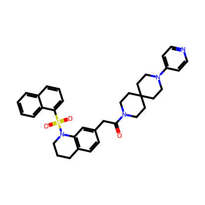 O=C(Cc1ccc2c(c1)N(S(=O)(=O)c1cccc3ccccc13)CCC2)N1CCC2(CC1)CCN(c1ccncc1)CC2